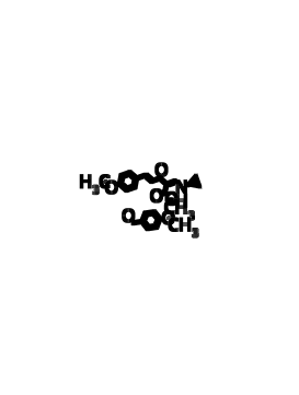 COC(=O)C(=CNC1CC1)C(=O)C=Cc1ccc(OC)cc1.COc1ccc(C=O)cc1